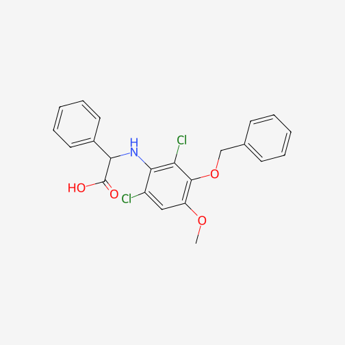 COc1cc(Cl)c(NC(C(=O)O)c2ccccc2)c(Cl)c1OCc1ccccc1